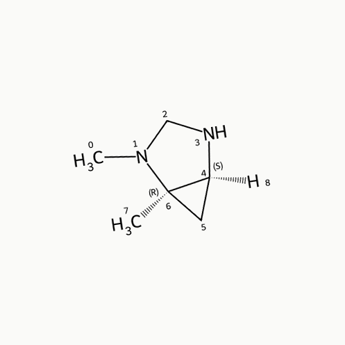 CN1CN[C@H]2C[C@]21C